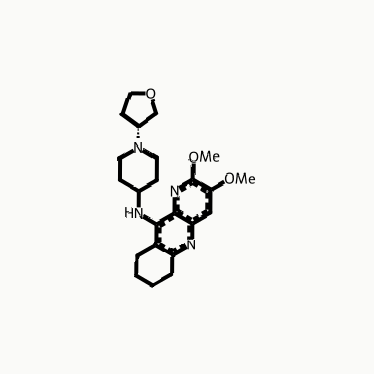 COc1cc2nc3c(c(NC4CCN([C@@H]5CCOC5)CC4)c2nc1OC)CCCC3